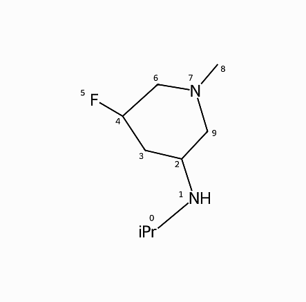 CC(C)NC1CC(F)CN(C)C1